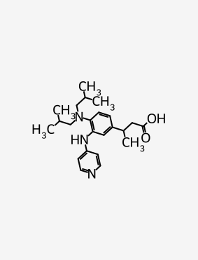 CC(C)CN(CC(C)C)c1ccc(C(C)CC(=O)O)cc1Nc1ccncc1